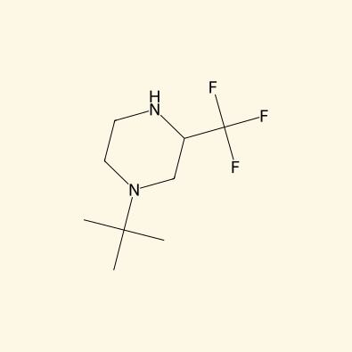 CC(C)(C)N1CCNC(C(F)(F)F)C1